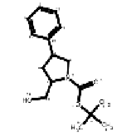 CC(C)(C)OC(=O)N1CC(c2ccccc2)CC1CO